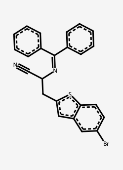 N#CC(Cc1cc2cc(Br)ccc2s1)N=C(c1ccccc1)c1ccccc1